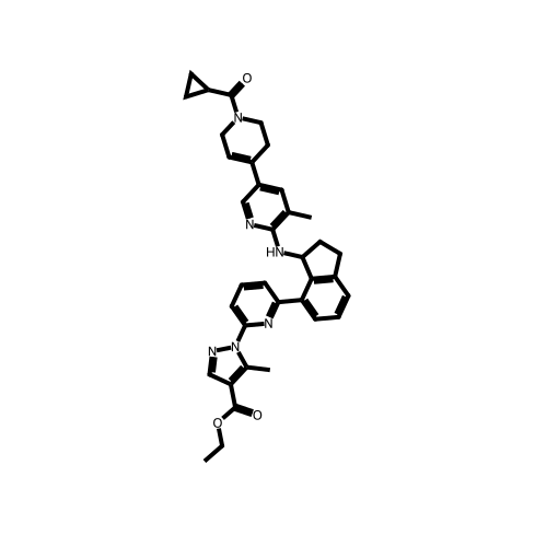 CCOC(=O)c1cnn(-c2cccc(-c3cccc4c3C(Nc3ncc(C5=CCN(C(=O)C6CC6)CC5)cc3C)CC4)n2)c1C